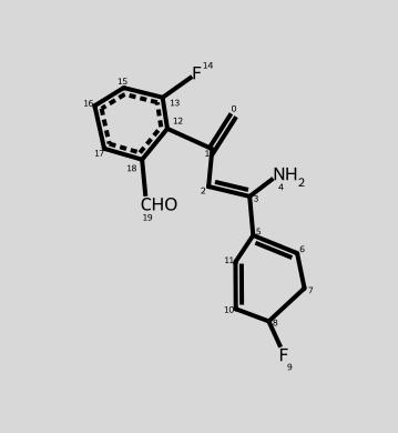 C=C(/C=C(\N)C1=CCC(F)C=C1)c1c(F)cccc1C=O